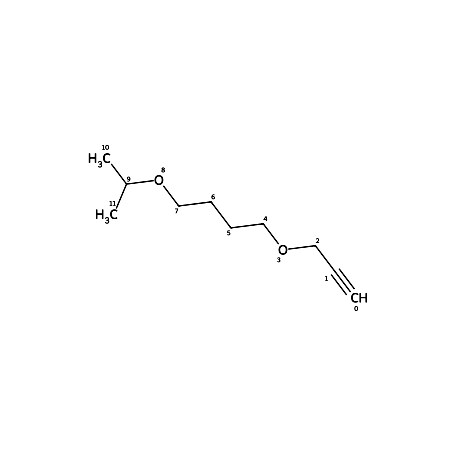 C#CCOCCCCOC(C)C